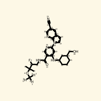 [2H]C([2H])([2H])OC(C)(C)C(F)CNC(=O)c1cnc(-n2ccc3cc(C#N)cnc32)cc1NC1CCCC(CO)C1